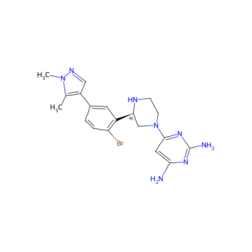 Cc1c(-c2ccc(Br)c([C@@H]3CN(c4cc(N)nc(N)n4)CCN3)c2)cnn1C